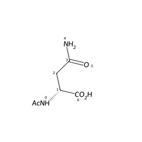 CC(=O)N[C@H](CC(N)=O)C(=O)O